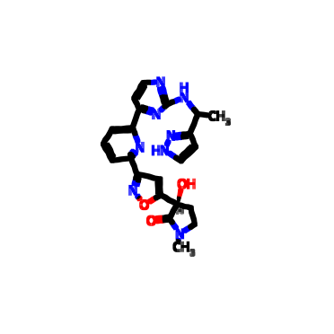 CC(Nc1nccc(-c2cccc(-c3cc([C@]4(O)CCN(C)C4=O)on3)n2)n1)c1cc[nH]n1